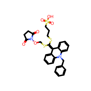 O=C1CCC(=O)N1OCSC(SCCCS(=O)(=O)O)=C1c2ccccc2N(Cc2ccccc2)c2ccccc21